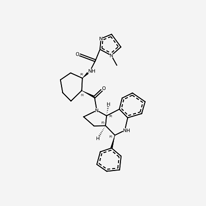 Cn1ccnc1C(=O)N[C@@H]1CCCC[C@@H]1C(=O)N1CC[C@@H]2[C@H](c3ccccc3)Nc3ccccc3[C@@H]21